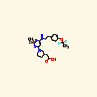 COc1nc(NCCc2ccc(OC(C)(F)F)cc2)cc(N2CCCC(CC(=O)O)C2)n1